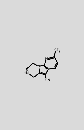 N#Cc1c2n(c3nc(C(F)(F)F)ccc13)CCNC2